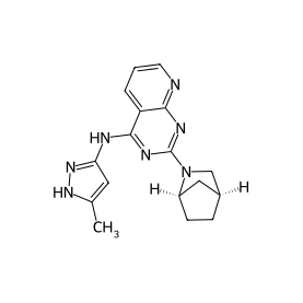 Cc1cc(Nc2nc(N3C[C@H]4CC[C@@H]3C4)nc3ncccc23)n[nH]1